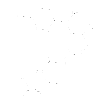 COc1ccc(C(=N)c2cc(NC(=O)c3ncc(C#N)cc3C)ccc2N)cn1